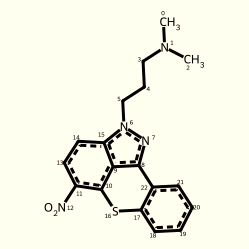 CN(C)CCCn1nc2c3c(c([N+](=O)[O-])ccc31)Sc1ccccc1-2